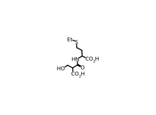 CCSCCC(NC(=O)C(CO)C(=O)O)C(=O)O